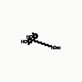 CCCCCCCCCCCCCCCCCCCCC(c1ccc(O)c(C)c1)c1cccc(C)c1O